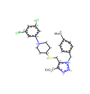 CCOC(=O)c1nnn(Cc2ccc(OC)cc2)c1CSC1CCN(c2cc(Cl)cc(Cl)c2)CC1